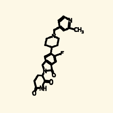 Cc1cc(CN2CCC(c3cc4c(cc3F)C(=O)N(C3CCC(=O)NC3=O)C4)CC2)ccn1